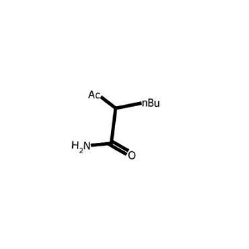 CCCCC(C(C)=O)C(N)=O